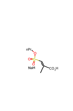 CCCOS(=O)(=O)C=C(C)C(=O)O.[NaH]